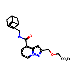 CCOC(=O)COCc1cc2c(C(=O)NCC3=C4C5CC(C3)CC4C5)cccn2n1